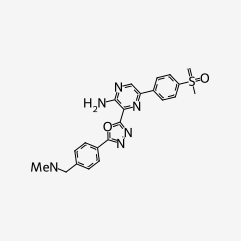 C=S(C)(=O)c1ccc(-c2cnc(N)c(-c3nnc(-c4ccc(CNC)cc4)o3)n2)cc1